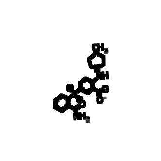 CN1CCN(Nc2ccc(S(=O)(=O)c3ccccc3C(N)=O)cc2[N+](=O)[O-])CC1